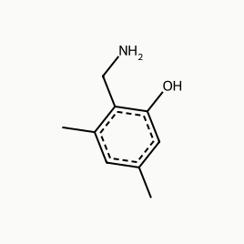 Cc1cc(C)c(CN)c(O)c1